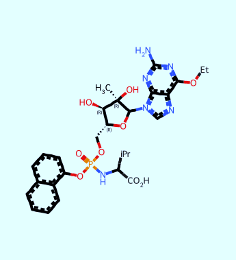 CCOc1nc(N)nc2c1ncn2C1O[C@H](COP(=O)(NC(C(=O)O)C(C)C)Oc2cccc3ccccc23)[C@@H](O)[C@@]1(C)O